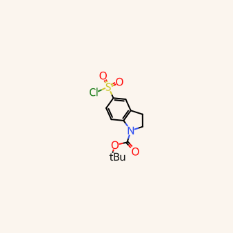 CC(C)(C)OC(=O)N1CCc2cc(S(=O)(=O)Cl)ccc21